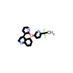 CC(F)(F)c1ccc(Oc2ncccc2-c2ccnc3ccccc23)cn1